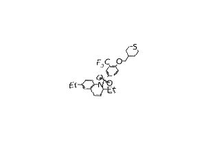 CCc1ccc2c(c1)CCC(CC)N2S(=O)(=O)c1ccc(OCC2CCSCC2)c(C(F)(F)F)c1